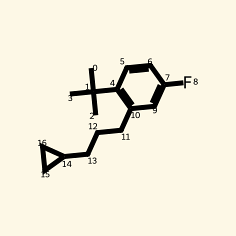 CC(C)(C)c1ccc(F)cc1CCCC1CC1